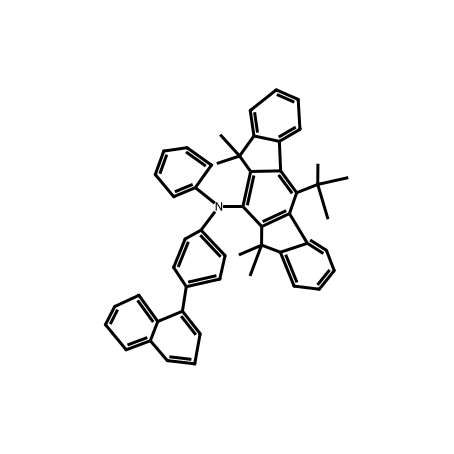 CC(C)(C)c1c2c(c(N(c3ccccc3)c3ccc(-c4cccc5ccccc45)cc3)c3c1-c1ccccc1C3(C)C)C(C)(C)c1ccccc1-2